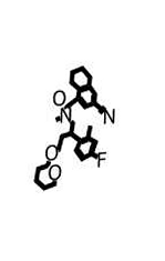 Cc1cc(F)ccc1C(CCOC1CCCCO1)CN(C)C(=O)c1cc(C#N)cc2c1CCCC2